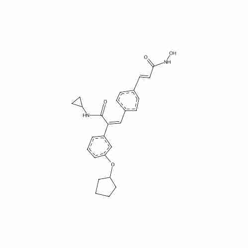 O=C(/C=C/c1ccc(C=C(C(=O)NC2CC2)c2cccc(OC3CCCC3)c2)cc1)NO